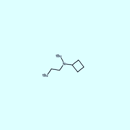 CC(C)(C)CCN(C1CCC1)C(C)(C)C